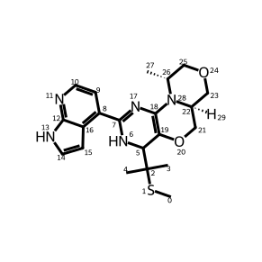 CSC(C)(C)C1NC(c2ccnc3[nH]ccc23)=NC2=C1OC[C@@H]1COC[C@@H](C)N21